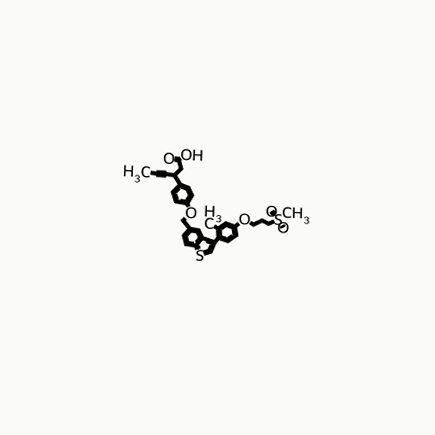 CC#CC(CC(=O)O)c1ccc(OCc2ccc3scc(-c4ccc(OCCCS(C)(=O)=O)cc4C)c3c2)cc1